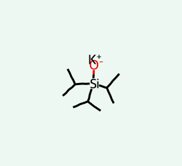 CC(C)[Si]([O-])(C(C)C)C(C)C.[K+]